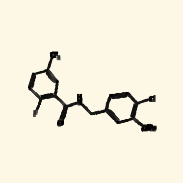 COc1cc(CNC(=O)c2cc(C(F)(F)F)ccc2F)ccc1Cl